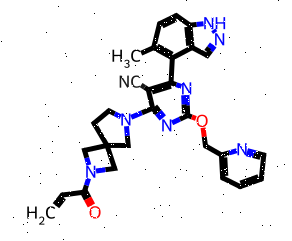 C=CC(=O)N1CC2(CCN(c3nc(OCc4ccccn4)nc(-c4c(C)ccc5[nH]ncc45)c3C#N)C2)C1